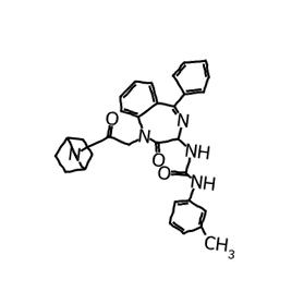 Cc1cccc(NC(=O)NC2N=C(c3ccccc3)c3ccccc3N(CC(=O)N3CC4CCC(CC4)C3)C2=O)c1